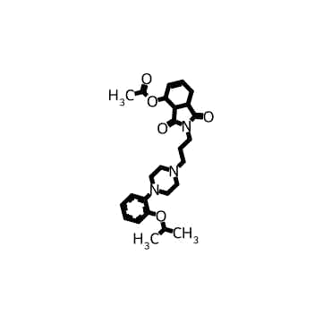 CC(=O)OC1C=CCC2C(=O)N(CCCN3CCN(c4ccccc4OC(C)C)CC3)C(=O)C12